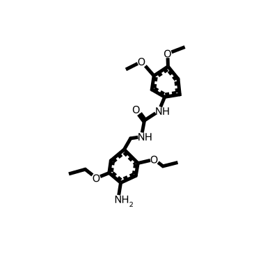 CCOc1cc(CNC(=O)Nc2ccc(OC)c(OC)c2)c(OCC)cc1N